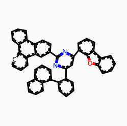 c1ccc(-c2cccc3ccccc23)c(-c2cc(-c3cccc4c3oc3ccccc34)nc(-c3ccc4c5ccccc5c5ccccc5c4c3)n2)c1